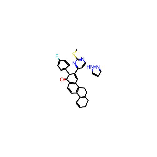 CSc1nccc(C2=Cc3c(ccc4c3CCC3=C4C=CCC3)C(=O)C2c2ccc(F)cc2)n1.c1cn[nH]c1